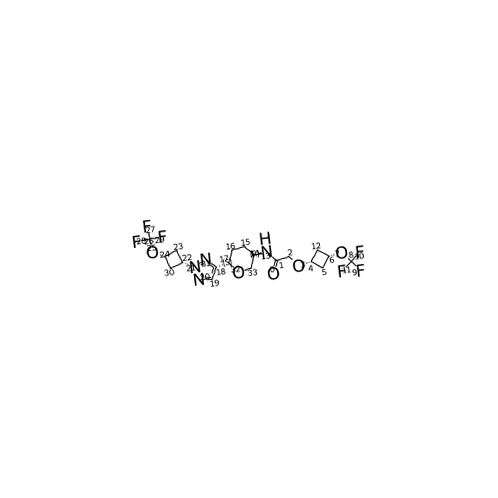 O=C(CO[C@H]1C[C@@H](OC(F)(F)F)C1)N[C@@H]1CC[C@@H](c2cnn([C@H]3C[C@@H](OC(F)(F)F)C3)n2)OC1